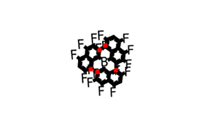 Fc1cc(F)c2c(F)c(F)c(F)c(B(c3c(F)c(F)c(F)c4c(F)cc(F)c(F)c34)c3c(F)c(F)c(F)c4c(F)cc(F)c(F)c34)c2c1F